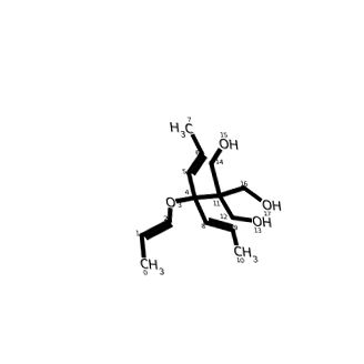 CC=COC(C=CC)(C=CC)C(CO)(CO)CO